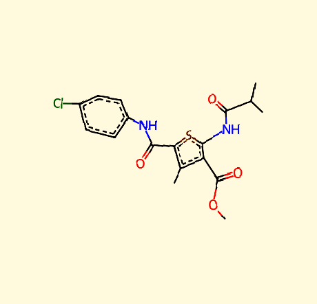 COC(=O)c1c(NC(=O)C(C)C)sc(C(=O)Nc2ccc(Cl)cc2)c1C